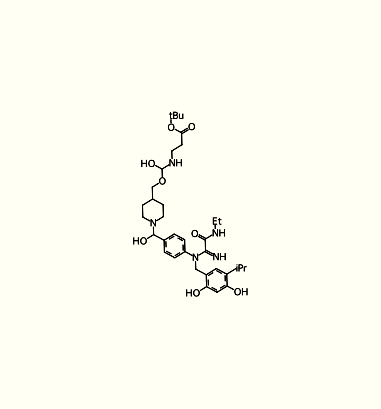 CCNC(=O)C(=N)N(Cc1cc(C(C)C)c(O)cc1O)c1ccc(C(O)N2CCC(COC(O)NCCC(=O)OC(C)(C)C)CC2)cc1